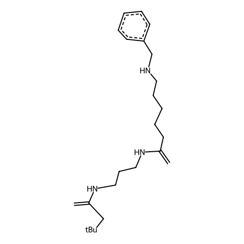 C=C(CCCCCNCc1ccccc1)NCCCNC(=C)CC(C)(C)C